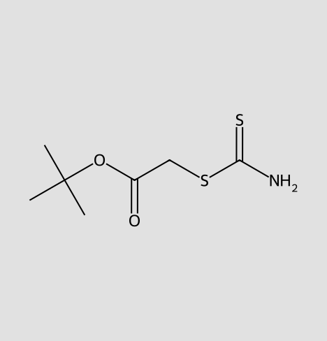 CC(C)(C)OC(=O)CSC(N)=S